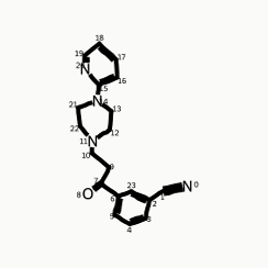 N#Cc1cccc(C(=O)CCN2CCN(c3ccccn3)CC2)c1